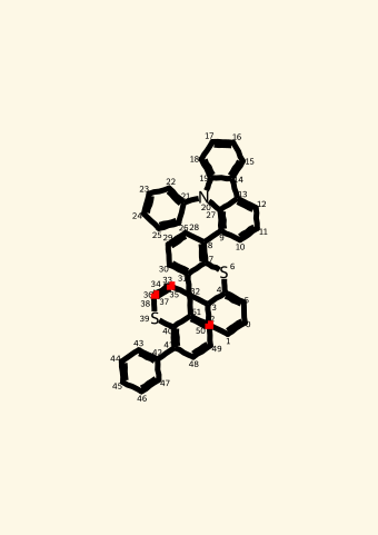 C1=CCC2C(=C1)Sc1c(-c3cccc4c5ccccc5n(-c5ccccc5)c34)cccc1C21c2ccccc2Sc2c(-c3ccccc3)cccc21